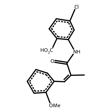 COc1ccccc1C=C(C)C(=O)Nc1cc(Cl)ccc1C(=O)O